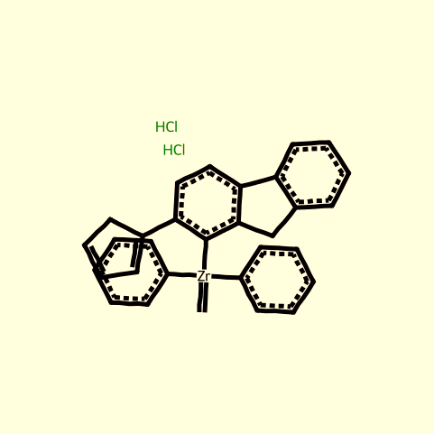 Cl.Cl.[CH2]=[Zr]([c]1ccccc1)([c]1ccccc1)[c]1c(C2=CC=CC2)ccc2c1Cc1ccccc1-2